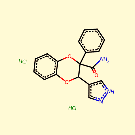 Cl.Cl.NC(=O)C1(c2ccccc2)Oc2ccccc2OC1c1cn[nH]c1